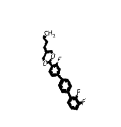 C=CCCC1COC(c2ccc(-c3ccc(-c4cccc(F)c4F)cc3)cc2F)OC1